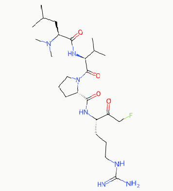 CC(C)C[C@@H](C(=O)N[C@H](C(=O)N1CCC[C@H]1C(=O)N[C@@H](CCCNC(=N)N)C(=O)CF)C(C)C)N(C)C